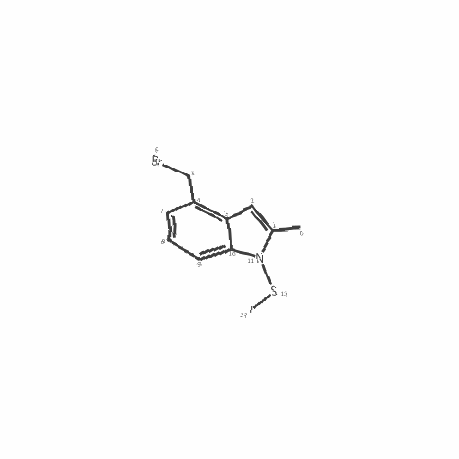 Cc1cc2c(CBr)cccc2n1SI